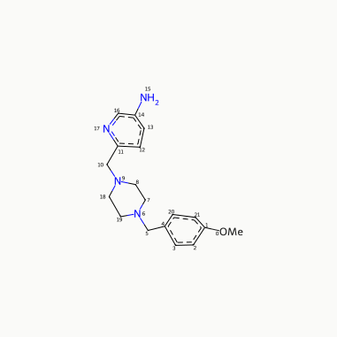 COc1ccc(CN2CCN(Cc3ccc(N)cn3)CC2)cc1